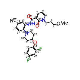 COCCCn1cccc(C(=O)Nc2cc(C#N)ccc2N2CCC(Oc3ccc(F)cc3F)CC2)c1=O